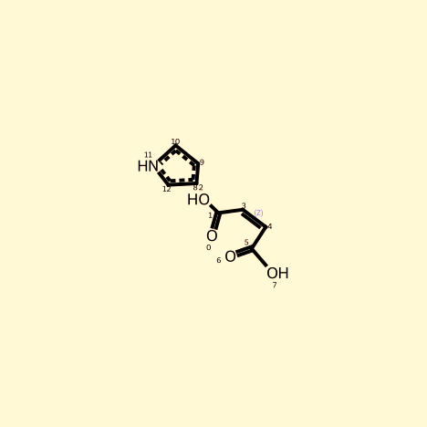 O=C(O)/C=C\C(=O)O.c1cc[nH]c1